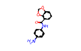 Nc1ccc(NC(=O)c2cccc3c2OCO3)cc1